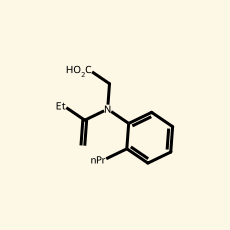 C=C(CC)N(CC(=O)O)c1ccccc1CCC